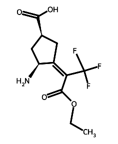 CCOC(=O)/C(=C1/C[C@H](C(=O)O)C[C@@H]1N)C(F)(F)F